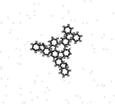 c1ccc2c(c1)-c1c(cccc1-c1cccc3c1sc1ccccc13)-c1cc3c4ccccc4c4ccccc4c3cc1-c1cccc(-c3cccc4c3sc3ccccc34)c1-2